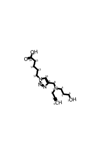 C#CCN(CCCO)Cc1cn(CCCCC(=O)O)nn1